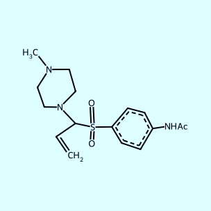 C=CC(N1CCN(C)CC1)S(=O)(=O)c1ccc(NC(C)=O)cc1